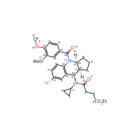 CCOC(=O)CCC(=O)N(C1CC1)[C@H]1c2cc(F)ccc2N(C(=O)c2ccc(OC(F)(F)F)c(OC)c2)[C@H]2CCC[C@H]21